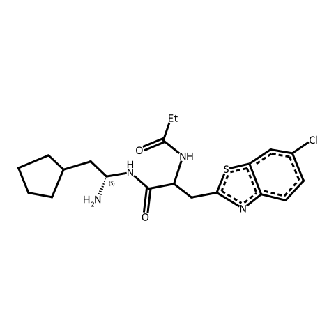 CCC(=O)NC(Cc1nc2ccc(Cl)cc2s1)C(=O)N[C@H](N)CC1CCCC1